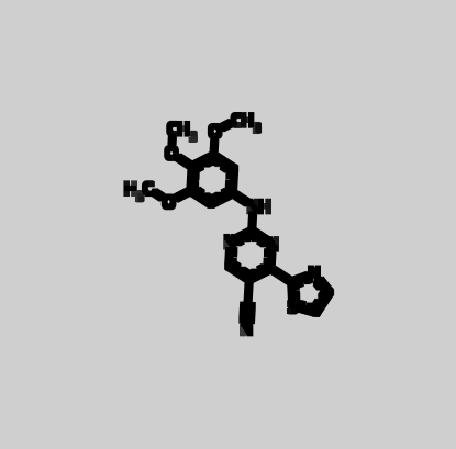 COc1cc(Nc2ncc(C#N)c(-c3nccs3)n2)cc(OC)c1OC